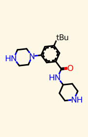 CC(C)(C)c1cc(C(=O)NC2CCNCC2)cc(N2CCNCC2)c1